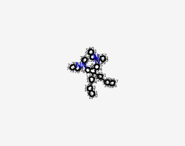 c1ccc(N(c2ccc3c(-c4ccc(-c5ccc6ccccc6c5)cc4)c(-c4ccc(-c5ccc6ccccc6c5)cc4)c4ccc(N(c5ccccc5)c5ccc6ccccc6n5)cc4c3c2)c2ccc3ccccc3n2)cc1